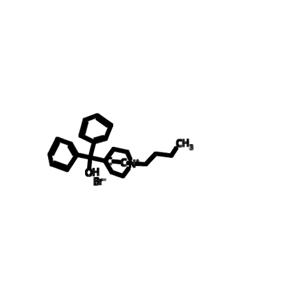 CCCC[N+]12CCC(C(O)(c3ccccc3)c3ccccc3)(CC1)CC2.[Br-]